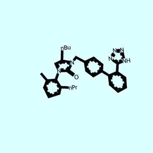 CCCCc1cn(-c2c(C)cccc2CCC)c(=O)n1Cc1ccc(-c2ccccc2-c2nnn[nH]2)cc1